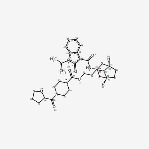 CC(C)n1c(=O)n(C(=O)N[C@H]2C[C@H]3CC[C@@H](C2)N3CCCOC(=O)N2CCN(C(=O)C3CCCO3)CC2)c2ccccc21